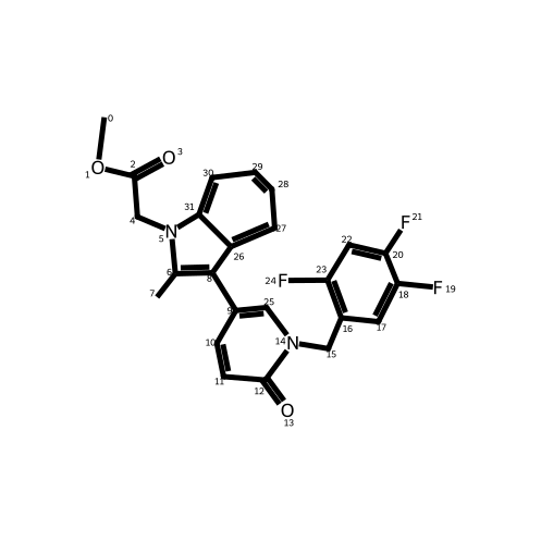 COC(=O)Cn1c(C)c(-c2ccc(=O)n(Cc3cc(F)c(F)cc3F)c2)c2ccccc21